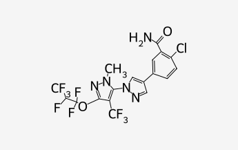 Cn1nc(OC(F)(F)C(F)C(F)(F)F)c(C(F)(F)F)c1-n1cc(-c2ccc(Cl)c(C(N)=O)c2)cn1